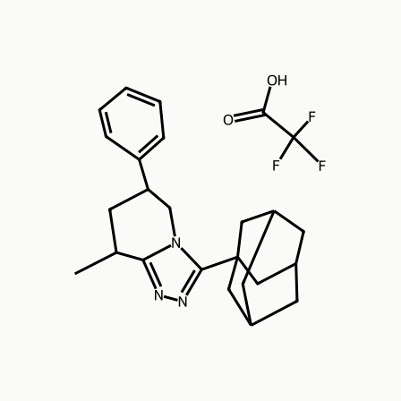 CC1CC(c2ccccc2)Cn2c1nnc2C12CC3CC(CC(C3)C1)C2.O=C(O)C(F)(F)F